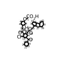 O=C(O)COc1ccc(COC(=O)c2c(Cl)cc(C(=O)c3ccccc3)cc2NC(=O)OCc2cccc3c2Cc2ccccc2-3)cc1